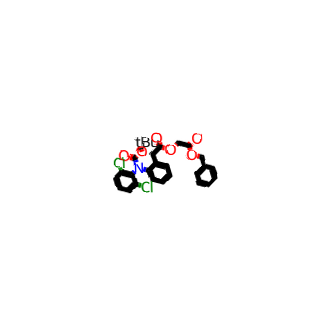 CC(C)(C)OC(=O)N(c1ccccc1CC(=O)OCC(=O)OCc1ccccc1)c1c(Cl)cccc1Cl